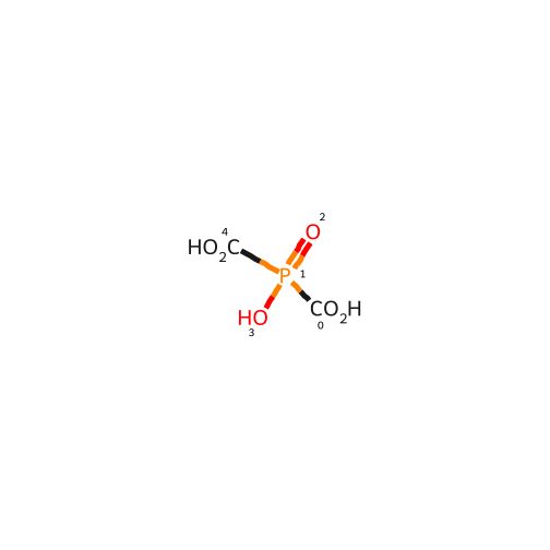 O=C(O)P(=O)(O)C(=O)O